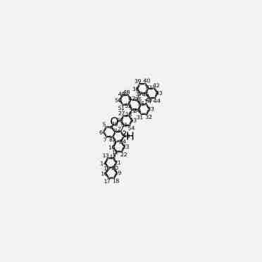 [2H]c1c2c3c(cccc3c3cc(-c4ccc5ccccc5c4)ccc13)Oc1cc(-c3c4ccccc4c(-c4cccc5ccccc45)c4ccccc34)ccc1-2